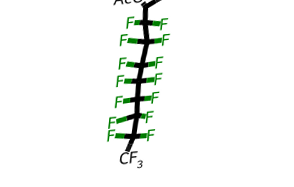 CCC(OC(C)=O)C(F)(F)C(F)(F)C(F)(F)C(F)(F)C(F)(F)C(F)(F)C(F)(F)C(F)(F)F